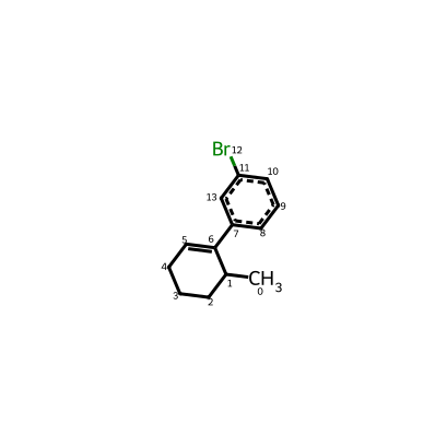 CC1CCCC=C1c1cccc(Br)c1